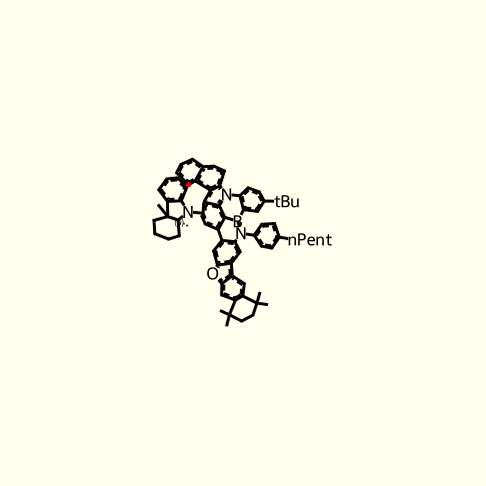 CCCCCc1ccc(N2B3c4cc(C(C)(C)C)ccc4-n4c5ccc6ccccc6c5c5c(N6c7ccccc7C7(C)CCCC[C@]67C)cc(c3c54)-c3cc4oc5cc6c(cc5c4cc32)C(C)(C)CCC6(C)C)cc1